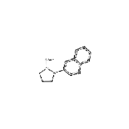 CNN1CCCN1c1cnc2ccccc2c1